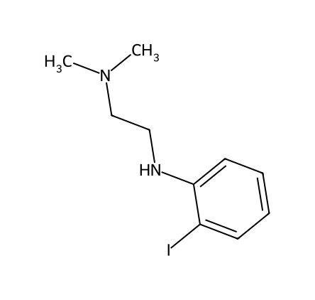 CN(C)CCNc1ccccc1I